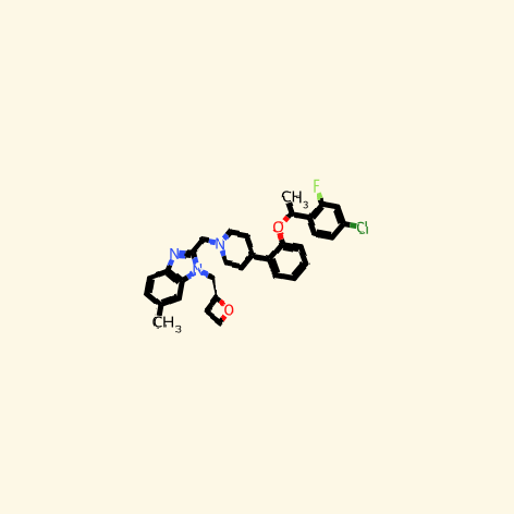 Cc1ccc2nc(CN3CCC(c4ccccc4OC(C)c4ccc(Cl)cc4F)CC3)n(C[C@@H]3CCO3)c2c1